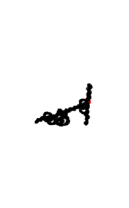 CCCCCCCCC(CCCCCCCC)OC(=O)CCCCCCCN(CCCC(=O)OCCCCC)CCOC